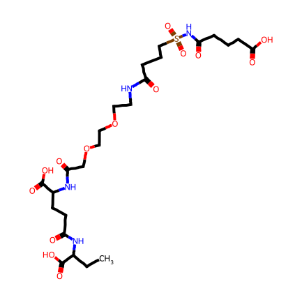 CCC(NC(=O)CCC(NC(=O)COCCOCCNC(=O)CCCS(=O)(=O)NC(=O)CCCC(=O)O)C(=O)O)C(=O)O